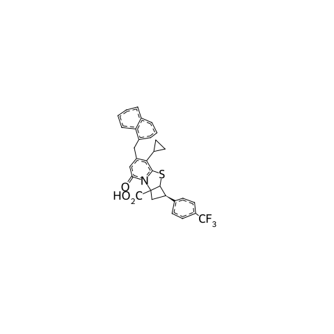 O=C(O)C12C[C@H](c3ccc(C(F)(F)F)cc3)C1Sc1c(C3CC3)c(Cc3cccc4ccccc34)cc(=O)n12